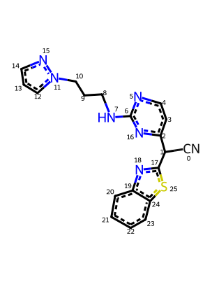 N#CC(c1ccnc(NCCCn2cccn2)n1)c1nc2ccccc2s1